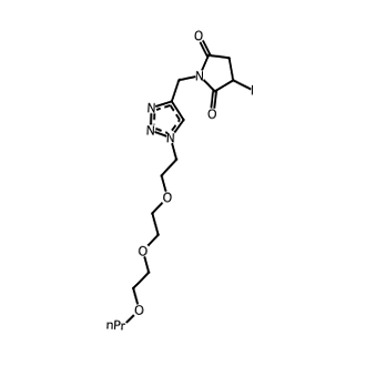 CCCOCCOCCOCCn1cc(CN2C(=O)CC(I)C2=O)nn1